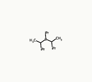 CC(C)B(C(C)C(C)C)C(C)C(C)C